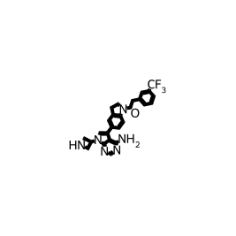 Nc1ncnc2c1c(-c1ccc3c(c1)CCN3C(=O)Cc1cccc(C(F)(F)F)c1)cn2C1CNC1